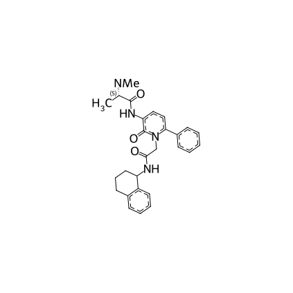 CN[C@@H](C)C(=O)Nc1ccc(-c2ccccc2)n(CC(=O)NC2CCCc3ccccc32)c1=O